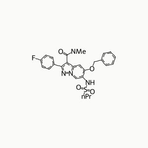 CCCS(=O)(=O)Nc1cn2nc(-c3ccc(F)cc3)c(C(=O)NC)c2cc1OCc1ccccc1